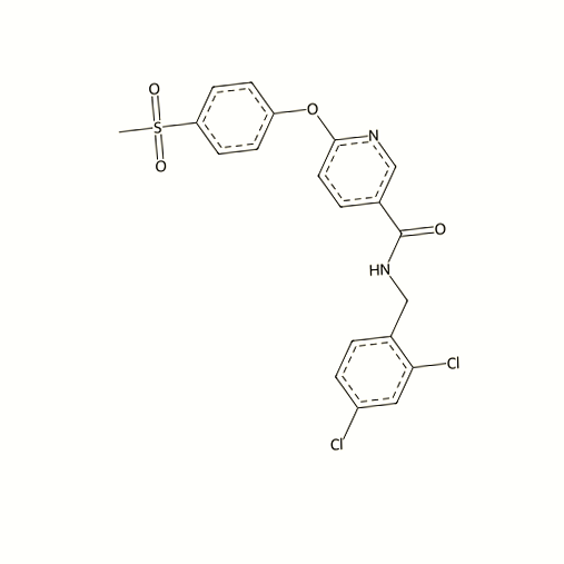 CS(=O)(=O)c1ccc(Oc2ccc(C(=O)NCc3ccc(Cl)cc3Cl)cn2)cc1